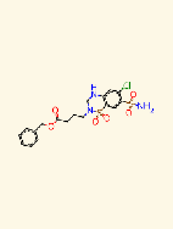 NS(=O)(=O)c1cc2c(cc1Cl)NCN(CCCC(=O)OCc1ccccc1)S2(=O)=O